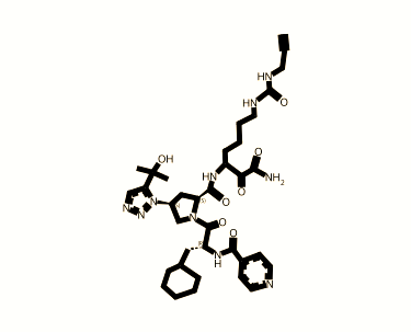 C#CCNC(=O)NCCCCC(NC(=O)[C@@H]1C[C@H](n2nncc2C(C)(C)O)CN1C(=O)[C@@H](CC1CCCCC1)NC(=O)c1ccncc1)C(=O)C(N)=O